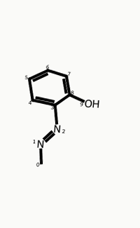 C/N=N/c1ccccc1O